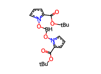 CC(C)(C)OC(=O)c1cccn1OBOn1cccc1C(=O)OC(C)(C)C